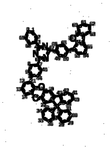 c1ccc(-c2nc(-c3ccc(-c4cccc5c4Oc4cc6c(cc4O5)C(c4ccccc4)(c4ccccc4)c4ccccc4-6)cc3)nc(-c3ccc(-c4cccc5c4oc4ccccc45)cc3)n2)cc1